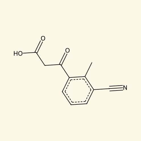 Cc1c(C#N)cccc1C(=O)CC(=O)O